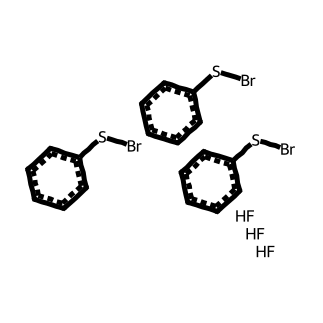 BrSc1ccccc1.BrSc1ccccc1.BrSc1ccccc1.F.F.F